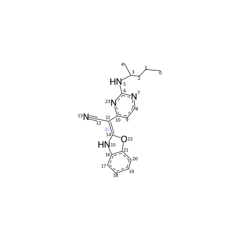 CCCC(C)Nc1nccc(/C(C#N)=C2/Nc3ccccc3O2)n1